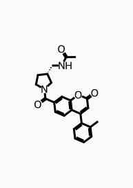 CC(=O)NC[C@H]1CCN(C(=O)c2ccc3c(-c4ccccc4C)cc(=O)oc3c2)C1